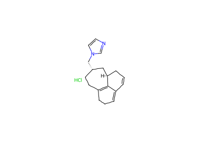 C1=CC2=CCCC3=C2[C@H](C1)C[C@@H](Cn1ccnc1)CC3.Cl